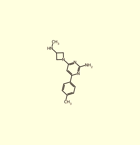 CNC1CN(c2cc(-c3ccc(C)cc3)nc(N)n2)C1